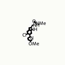 CNC(=O)NCc1cc2cc(Cl)c(-c3ccc(OC)cn3)cc2[nH]1